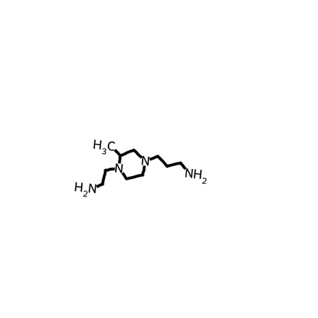 CC1CN(CCCN)CCN1CCN